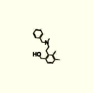 Cc1ccc(CO)c(CCN(C)Cc2ccccc2)c1C